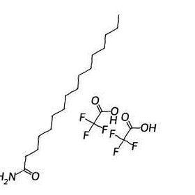 CCCCCCCCCCCCCCCC(N)=O.O=C(O)C(F)(F)F.O=C(O)C(F)(F)F